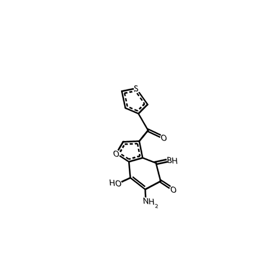 B=C1C(=O)C(N)=C(O)c2occ(C(=O)c3ccsc3)c21